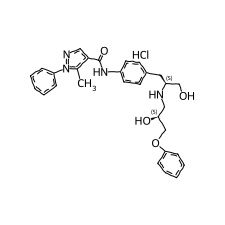 Cc1c(C(=O)Nc2ccc(C[C@@H](CO)NC[C@H](O)COc3ccccc3)cc2)cnn1-c1ccccc1.Cl